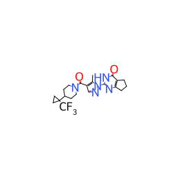 Cc1c(C(=O)N2CCC(C3(C(F)(F)F)CC3)CC2)cnn1-c1nc2c(c(=O)[nH]1)CCC2